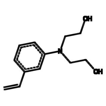 C=Cc1cccc(N(CCO)CCO)c1